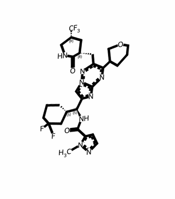 Cn1nccc1C(=O)N[C@H](c1cn2nc(C[C@H]3C[C@@H](C(F)(F)F)CNC3=O)c(C3CCCOC3)nc2n1)[C@H]1CCCC(F)(F)C1